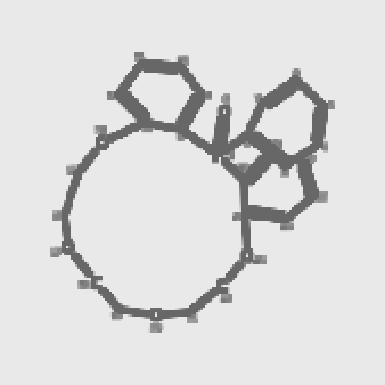 O=P1(c2ccccc2)c2ccccc2OCCOCCOCCOc2ccccc21